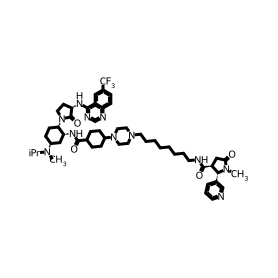 CC(C)N(C)[C@@H]1CC[C@H](N2CC[C@H](Nc3ncnc4ccc(C(F)(F)F)cc34)C2=O)[C@H](NC(=O)C2CCC(N3CCN(CCCCCCCCNC(=O)[C@H]4CC(=O)N(C)[C@@H]4c4cccnc4)CC3)CC2)C1